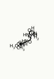 CC(C)(C)OC(=O)NCCNC1OC1CN1CNC2C3OC3NC(N)NC21